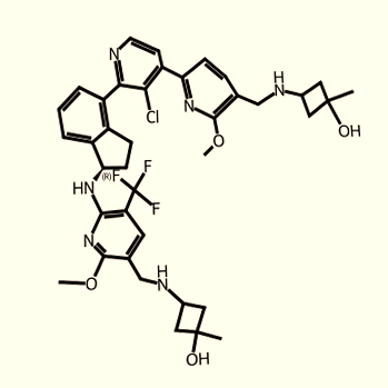 COc1nc(-c2ccnc(-c3cccc4c3CC[C@H]4Nc3nc(OC)c(CNC4CC(C)(O)C4)cc3C(F)(F)F)c2Cl)ccc1CNC1CC(C)(O)C1